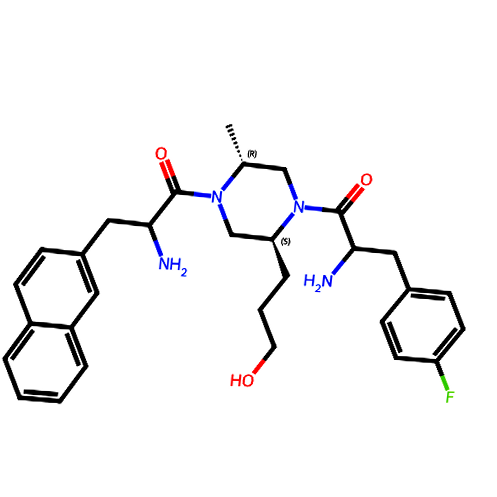 C[C@@H]1CN(C(=O)C(N)Cc2ccc(F)cc2)[C@@H](CCCO)CN1C(=O)C(N)Cc1ccc2ccccc2c1